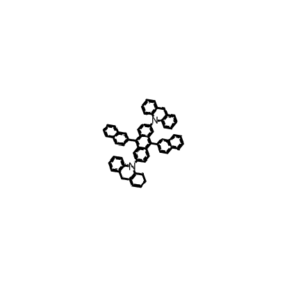 C1=CC2=C(CC1)N(c1ccc3c(-c4ccc5ccccc5c4)c4cc(N5c6ccccc6Cc6ccccc65)ccc4c(-c4ccc5ccccc5c4)c3c1)c1ccccc1C2